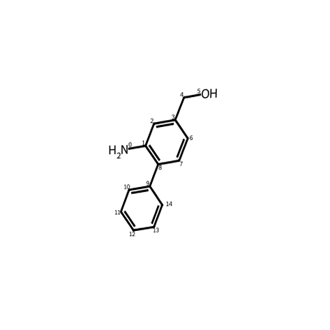 Nc1cc(CO)ccc1-c1ccccc1